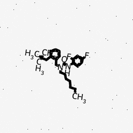 CCCCCCCN(Cc1ccccc1CC(C)(C)C)C(=O)Nc1ccc(F)cc1F